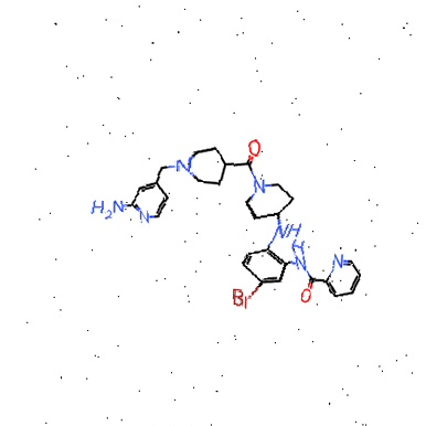 Nc1cc(CN2CCC(C(=O)N3CCC(Nc4ccc(Br)cc4NC(=O)c4ccccn4)CC3)CC2)ccn1